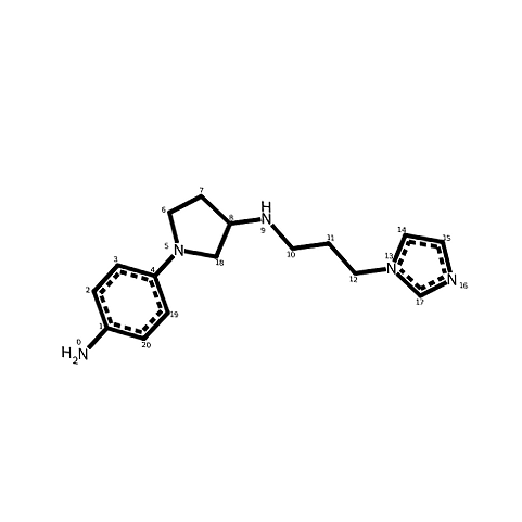 Nc1ccc(N2CCC(NCCCn3ccnc3)C2)cc1